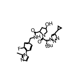 Cc1nccn1-c1ccc(CNC(=O)C2CC(O)CN2C(=O)[C@@H](n2cc(C3CC3)nn2)C(C)(C)C)cc1F